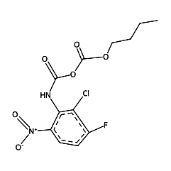 CCCCOC(=O)OC(=O)Nc1c([N+](=O)[O-])ccc(F)c1Cl